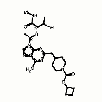 CCNC(=O)[C@@H](O[C@H](C)n1cnc2c(N)nc(CC3CCN(C(=O)OC4CCC4)CC3)nc21)C(C)O